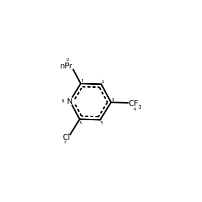 CCCc1cc(C(F)(F)F)cc(Cl)n1